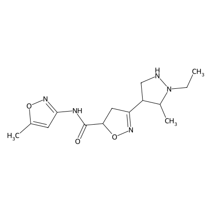 CCN1NCC(C2=NOC(C(=O)Nc3cc(C)on3)C2)C1C